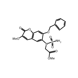 COC(=O)CN(c1cc2cc(OC)c(=O)oc2cc1OCc1ccccc1)S(N)(=O)=O